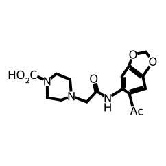 CC(=O)c1cc2c(cc1NC(=O)CN1CCN(C(=O)O)CC1)OCO2